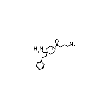 CN(C)CCCC(=O)N1CCC(CN)(CCc2ccccc2)CC1